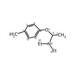 [CH2]c1ccc(OC(C)N(CC)CC)cc1